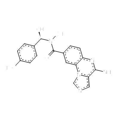 C[C@H](c1ccc(C(F)(F)F)cc1)N(C)C(=O)c1ccc2nc(N)c3cncn3c2c1